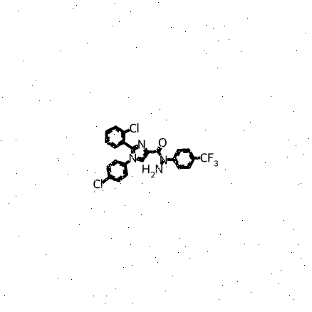 NN(C(=O)c1cn(-c2ccc(Cl)cc2)c(-c2ccccc2Cl)n1)c1ccc(C(F)(F)F)cc1